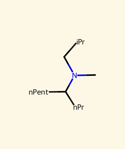 CCCCCC(CCC)N(C)CC(C)C